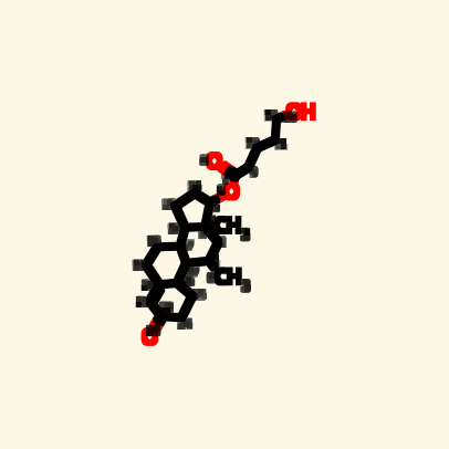 CC1CC2(C)C(OC(=O)CCCCO)CCC2C2CCC3=CC(=O)CCC3C12